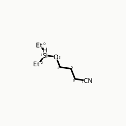 CC[SiH](CC)OCCCC#N